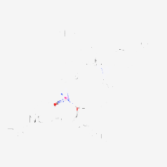 Cc1ccc2c(c1)c1cc(C)ccc1n2-c1cccc(C#N)c1-c1c(-c2ccc(C#N)cc2C(F)(F)F)cccc1-n1c2ccc(C)cc2c2cc(C)ccc21